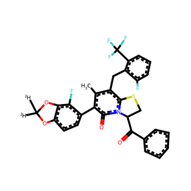 [2H]C1([2H])Oc2ccc(-c3c(C)c(Cc4c(F)cccc4C(F)(F)F)c4n(c3=O)C(C(=O)c3ccccc3)CS4)c(F)c2O1